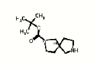 CC(C)(C)OC(=O)N1CC[C@]2(CCNC2)C1